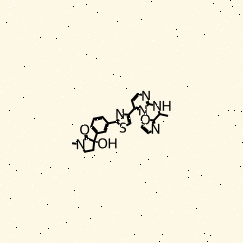 CC(Nc1nccc(-c2csc(-c3cccc([C@]4(O)CCN(C)C4=O)c3)n2)n1)c1ncco1